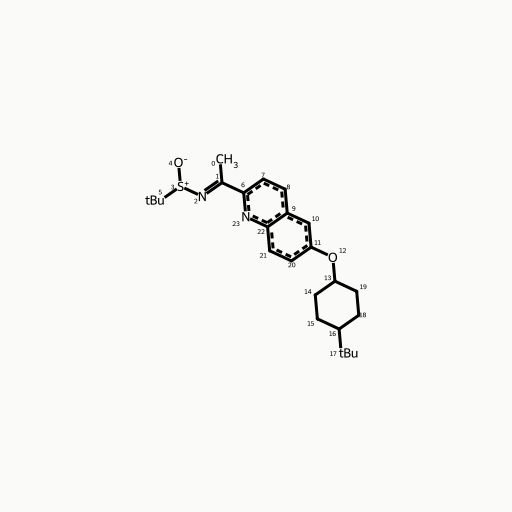 CC(=N[S+]([O-])C(C)(C)C)c1ccc2cc(OC3CCC(C(C)(C)C)CC3)ccc2n1